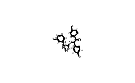 Cc1ccc(C(=O)C(Sc2nnnn2-c2cccc(C)c2)c2ccc(C)cc2)cc1